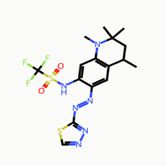 CC1CC(C)(C)N(C)c2cc(NS(=O)(=O)C(F)(F)F)c(N=Nc3nncs3)cc21